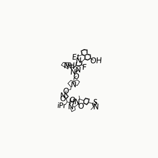 CCc1cccc2cc(O)cc(-c3ncc4c(N5CC6CCC(C5)N6)nc(OCC56CCCN5C(COc5cc(C(C(=O)N7CCCC7C(=O)NC(C)c7ccc(-c8scnc8C)cc7)C(C)C)on5)CC6)nc4c3F)c12